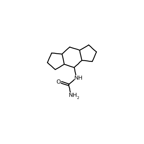 NC(=O)NC1C2CCCC2CC2CCCC21